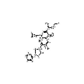 CCOC(=O)c1cn(C2CC2)c2nc(N3CC[C@H](n4ccnn4)C3)c(F)cc2c1=O